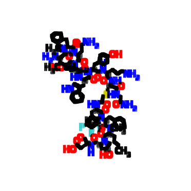 CCCC[C@@H](C(=O)N1C[C@H](O)C[C@@H]1C(=O)N[C@H](C=O)CC(=O)O)N(C)C(=O)[C@H](Cc1ccccc1)N(C)C(=O)[C@H](Cc1cc(F)c(F)c(F)c1)NC(=O)CSC[C@H](NC(=O)[C@H](CCCN)NC(=O)[C@H](Cc1ccc(O)cc1)NC(=O)[C@H](Cc1c[nH]c2ccccc12)NC(=O)[C@H]1C[C@@H](O)CN1C(=O)[C@H](CC(N)=O)NC(=O)C(Cc1ccccc1)N(C)C(=O)[C@@H](N)C(C)C)C(=O)NCC(N)=O